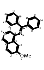 COc1ccc2cncc(N=C(c3ccccc3)c3ccccc3)c2c1